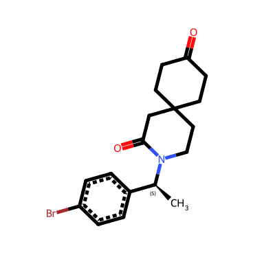 C[C@@H](c1ccc(Br)cc1)N1CCC2(CCC(=O)CC2)CC1=O